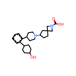 O=C(O)N1CC2(CC[C@@H](N3CCC(c4ccccc4C4CCC(O)CC4)CC3)C2)C1